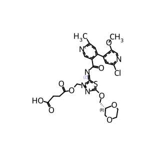 COc1cnc(Cl)cc1-c1cc(C)ncc1C(=O)/N=c1\sc(OC[C@H]2COCCO2)nn1COC(=O)CCC(=O)O